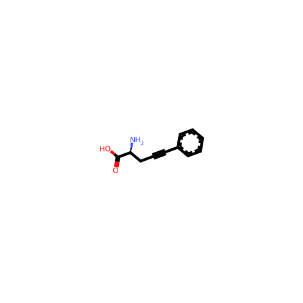 N[C@@H](CC#Cc1ccccc1)C(=O)O